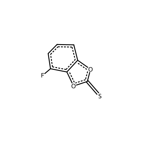 Fc1cccc2oc(=S)oc12